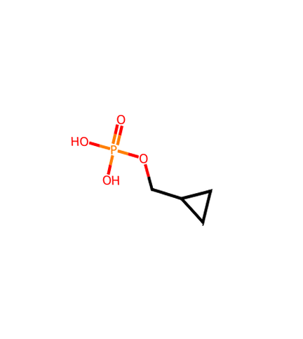 O=P(O)(O)OCC1[CH]C1